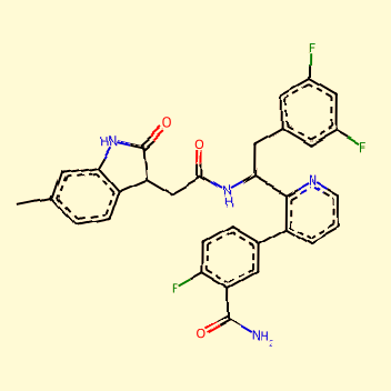 Cc1ccc2c(c1)NC(=O)C2CC(=O)NC(Cc1cc(F)cc(F)c1)c1ncccc1-c1ccc(F)c(C(N)=O)c1